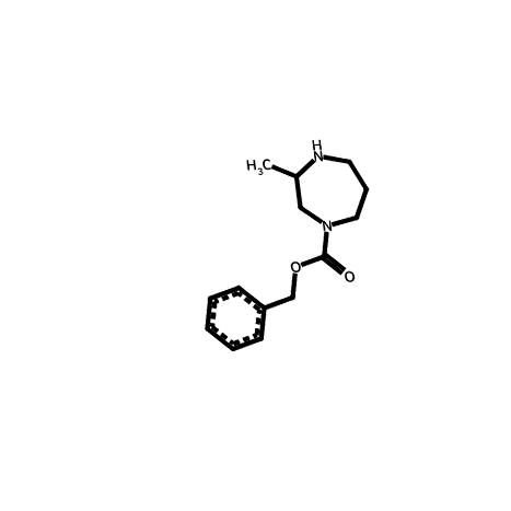 CC1CN(C(=O)OCc2ccccc2)CCCN1